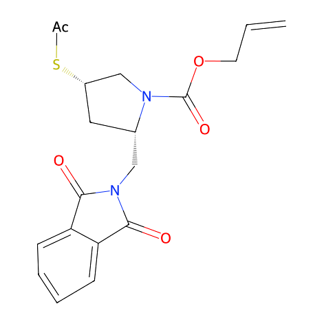 C=CCOC(=O)N1C[C@@H](SC(C)=O)C[C@H]1CN1C(=O)c2ccccc2C1=O